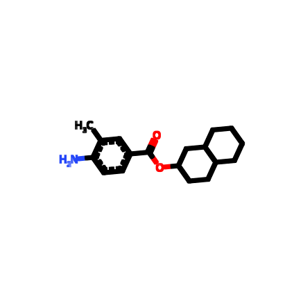 Cc1cc(C(=O)OC2CCC3CCCCC3C2)ccc1N